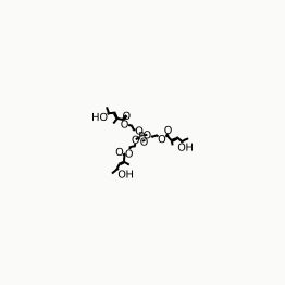 C/C(=C\C(C)O)C(=O)OCCOP(=O)(OCCOC(=O)/C(C)=C/C(C)O)OCCOC(=O)/C(C)=C/C(C)O